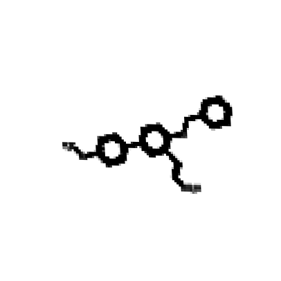 O=C(O)/C=C/c1cc(-c2ccc(OC(F)(F)F)cc2)ccc1OCc1ccccc1